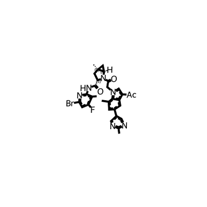 CC(=O)c1cn(CC(=O)N2[C@H](C(=O)Nc3nc(Br)cc(F)c3C)C[C@@]3(C)C[C@@H]23)c2c(C)cc(-c3cnc(C)nc3)cc12